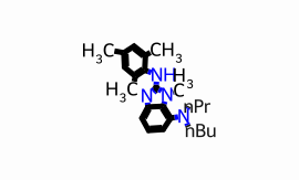 CCCCN(CCC)c1cccc2nc(Nc3c(C)cc(C)cc3C)n(C)c12